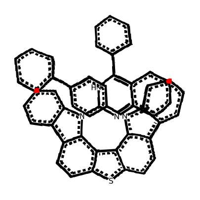 c1ccc(C2=c3ccccc3=NC(n3c4ccccc4c4ccc5sc6ccc7c8ccccc8n(-c8ccc(-c9ccccc9)cc8)c7c6c5c43)N2)cc1